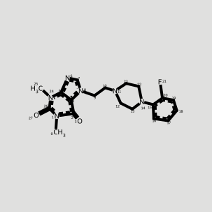 Cn1c(=O)c2c(ncn2CCN2CCN(c3ccccc3F)CC2)n(C)c1=O